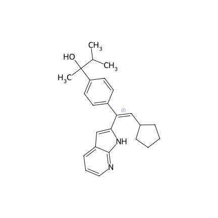 CC(C)C(C)(O)c1ccc(/C(=C/C2CCCC2)c2cc3cccnc3[nH]2)cc1